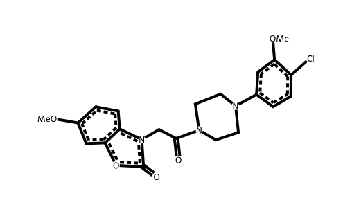 COc1ccc2c(c1)oc(=O)n2CC(=O)N1CCN(c2ccc(Cl)c(OC)c2)CC1